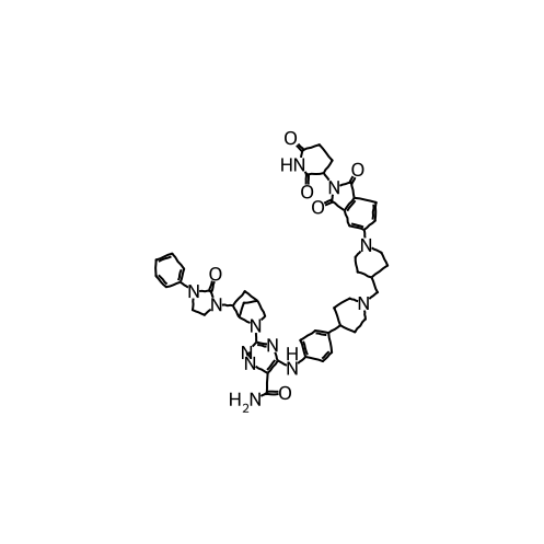 NC(=O)c1nnc(N2CC3CC(N4CCN(c5ccccc5)C4=O)C2C3)nc1Nc1ccc(C2CCN(CC3CCN(c4ccc5c(c4)C(=O)N(C4CCC(=O)NC4=O)C5=O)CC3)CC2)cc1